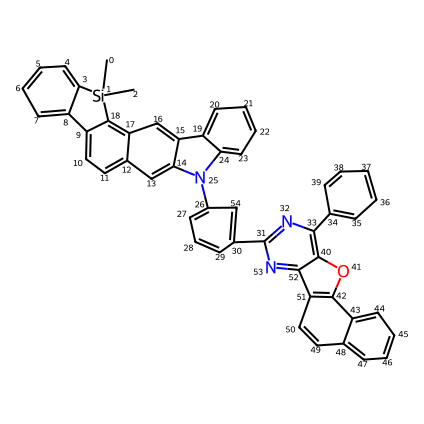 C[Si]1(C)c2ccccc2-c2ccc3cc4c(cc3c21)c1ccccc1n4-c1cccc(-c2nc(-c3ccccc3)c3oc4c5ccccc5ccc4c3n2)c1